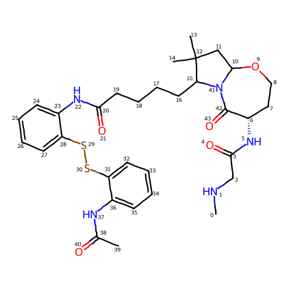 CNCC(=O)N[C@H]1CCOC2CC(C)(C)C(CCCCC(=O)Nc3ccccc3SSc3ccccc3NC(C)=O)N2C1=O